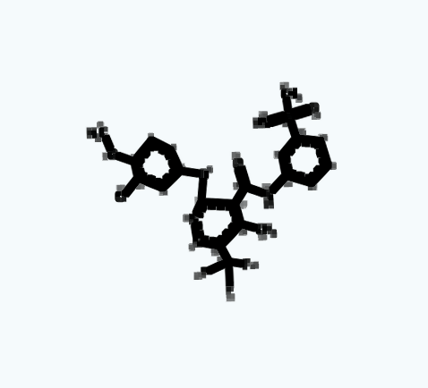 COc1ccc(Oc2nnc(C(F)(F)F)c(C)c2C(=O)Nc2cccc(S(C)(=N)=O)c2)cc1Cl